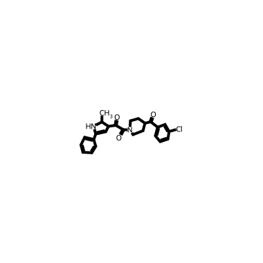 CC1NC(c2ccccc2)=CC1C(=O)C(=O)N1CCC(C(=O)c2cccc(Cl)c2)CC1